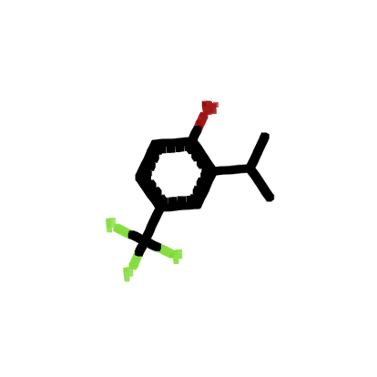 CC(C)c1cc(C(F)(F)F)ccc1Br